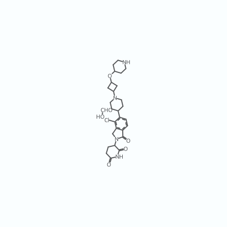 O=C1CCC(N2Cc3c(ccc(C4CCN(C5CC(OC6CCNCC6)C5)CC4)c3Cl)C2=O)C(=O)N1.O=CO